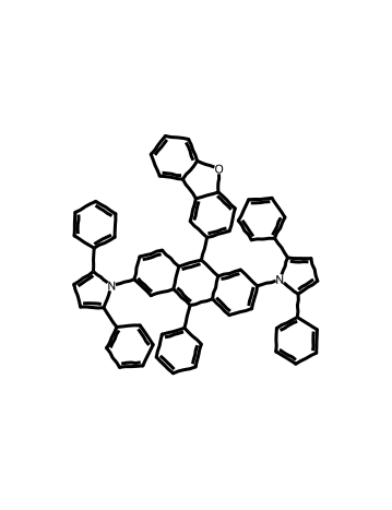 c1ccc(-c2c3ccc(-n4c(-c5ccccc5)ccc4-c4ccccc4)cc3c(-c3ccc4oc5ccccc5c4c3)c3ccc(-n4c(-c5ccccc5)ccc4-c4ccccc4)cc23)cc1